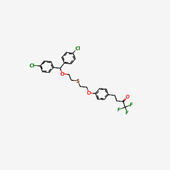 O=C(CCc1ccc(OCCSCCOC(c2ccc(Cl)cc2)c2ccc(Cl)cc2)cc1)C(F)(F)F